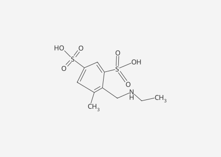 CCNCc1c(C)cc(S(=O)(=O)O)cc1S(=O)(=O)O